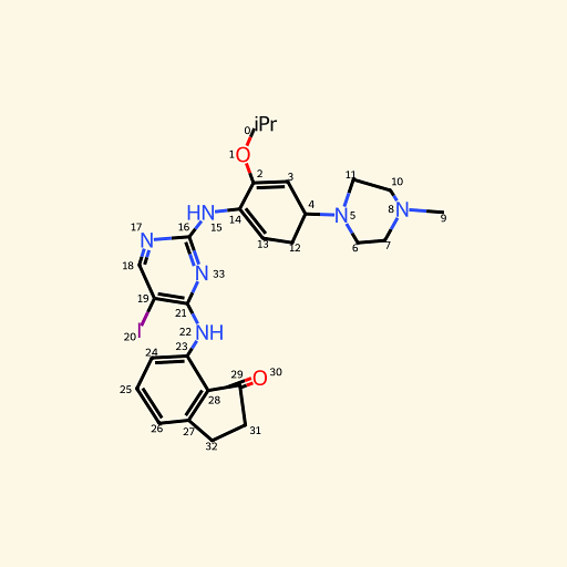 CC(C)OC1=CC(N2CCN(C)CC2)CC=C1Nc1ncc(I)c(Nc2cccc3c2C(=O)CC3)n1